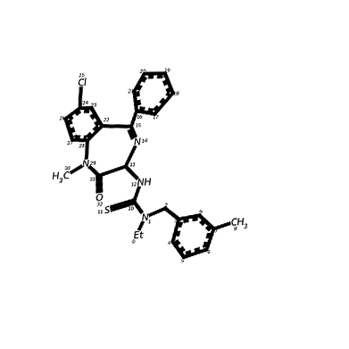 CCN(Cc1cccc(C)c1)C(=S)NC1N=C(c2ccccc2)c2cc(Cl)ccc2N(C)C1=O